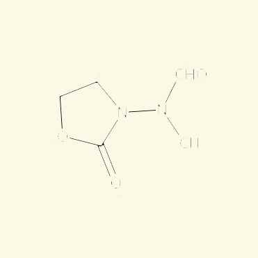 CN(C=O)N1CCOC1=O